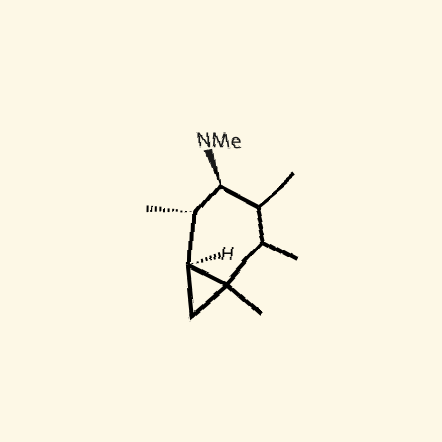 CN[C@H]1C(C)C(C)C2(C)C[C@H]2[C@@H]1C